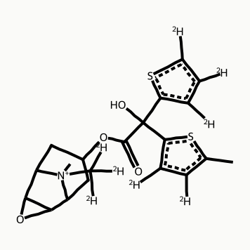 [2H]c1sc(C(O)(C(=O)OC2CC3C4OC4C(C2)[N+]3(C)C([2H])([2H])[2H])c2sc(C)c([2H])c2[2H])c([2H])c1[2H]